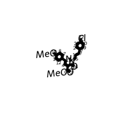 COC(=O)c1cc(-c2ccc(OC)cc2)nn(C/C=C/c2ccc(Cl)cc2)c1=O